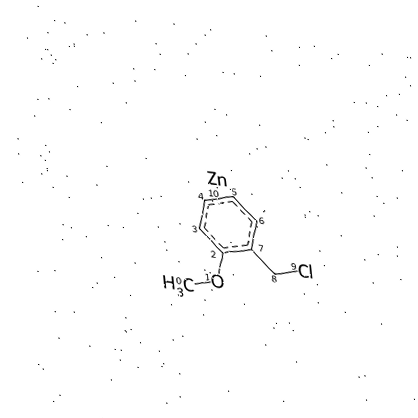 COc1ccccc1CCl.[Zn]